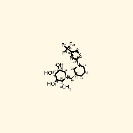 C[C@@H]1[C@@H](O)[C@H](O)[C@@H](O)CN1C[C@H]1CCCN(c2nc(C(F)(F)F)cs2)C1